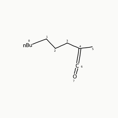 CCCCCCCC(C)=C=O